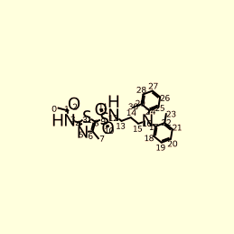 CC(=O)Nc1nc(C)c(S(=O)(=O)NCCCN(c2ccccc2C)c2ccccc2C)s1